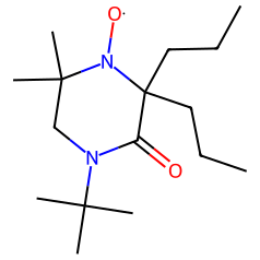 CCCC1(CCC)C(=O)N(C(C)(C)C)CC(C)(C)N1[O]